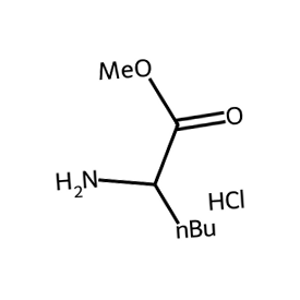 CCCCC(N)C(=O)OC.Cl